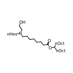 CCCCCCCCC(CCCCCCCC)OC(=O)CCCCCCCN(CCO)CCCCCC